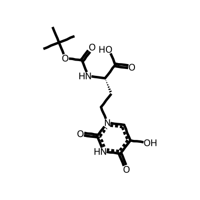 CC(C)(C)OC(=O)N[C@@H](CCn1cc(O)c(=O)[nH]c1=O)C(=O)O